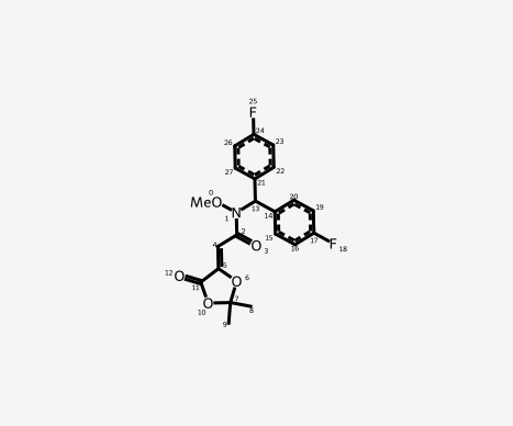 CON(C(=O)/C=C1\OC(C)(C)OC1=O)C(c1ccc(F)cc1)c1ccc(F)cc1